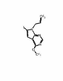 C=CCn1c(I)cc2c(OC)ncnc21